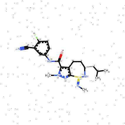 CN=S1N[C@@H](CC(C)C)CCc2c1nn(C)c2C(=O)Nc1ccc(F)c(C#N)c1